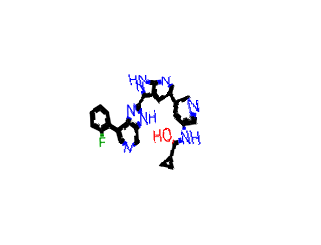 OC(Nc1cncc(-c2cnc3[nH]nc(-c4nc5c(-c6ccccc6F)cncc5[nH]4)c3c2)c1)C1CC1